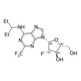 CCC(CC)Nc1nc(C(F)(F)F)nc2c1ncn2[C@@H]1O[C@H](CO)[C@@H](O)[C@@H]1F